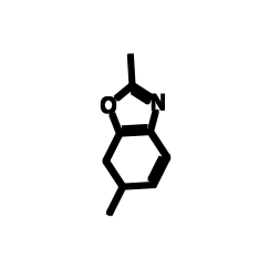 Cc1nc2c(o1)CC(C)C=C2